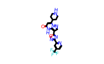 O=c1cc(C2CCNCC2)n2ncc(-c3nc(-c4cc(C(F)(F)F)ccn4)no3)c2[nH]1